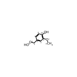 COc1cc(COO)ccc1O